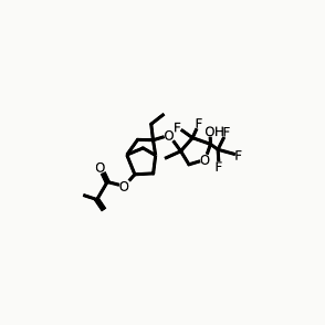 C=C(C)C(=O)OC1CC2CC1CC2(CC)OC1(C)COC(O)(C(F)(F)F)C1(F)F